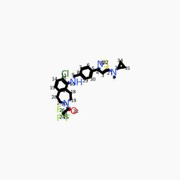 CN(c1cc(-c2ccc(CNc3c(Cl)ccc4c3CCN(C(=O)C(F)(F)F)CC4)cc2)ns1)C1CC1